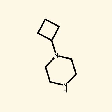 [CH]1CCC1N1CCNCC1